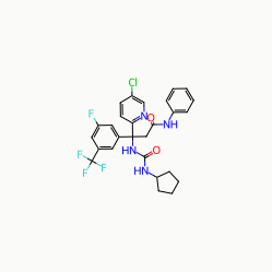 O=C(CC(NC(=O)NC1CCCC1)(c1cc(F)cc(C(F)(F)F)c1)c1ccc(Cl)cn1)Nc1ccccc1